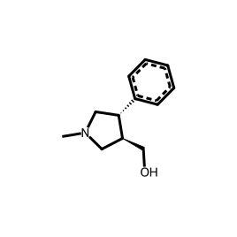 CN1C[C@H](CO)[C@@H](c2ccccc2)C1